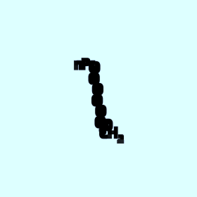 C=CC(=O)OCCOCCOCCOCCOCCOCCC